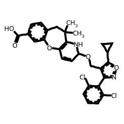 CC1(C)Cc2ccc(C(=O)O)cc2OC2=C1NC(OCc1c(-c3c(Cl)cccc3Cl)noc1C1CC1)C=C2